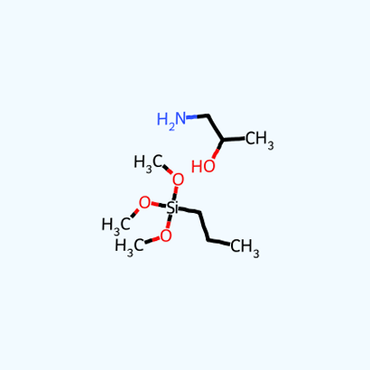 CC(O)CN.CCC[Si](OC)(OC)OC